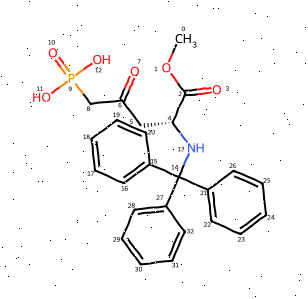 COC(=O)[C@@H](CC(=O)CP(=O)(O)O)NC(c1ccccc1)(c1ccccc1)c1ccccc1